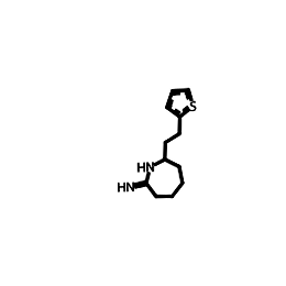 N=C1CCCCC(CCc2cccs2)N1